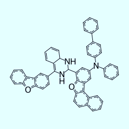 C1=CC2=C(c3ccc4oc5ccccc5c4c3)NC(c3cc(N(c4ccccc4)c4ccc(-c5ccccc5)cc4)cc4c3oc3ccc5ccccc5c34)NC2C=C1